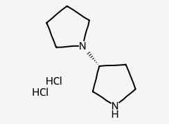 C1CCN([C@@H]2CCNC2)C1.Cl.Cl